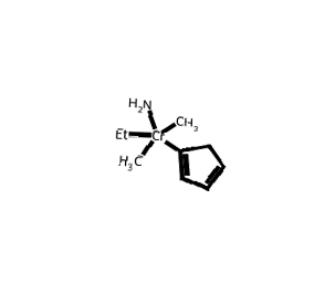 C[CH2][Cr]([CH3])([CH3])([NH2])[C]1=CC=CC1